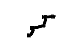 BrPSPBr